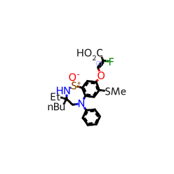 CCCCC1(CC)CN(c2ccccc2)c2cc(SC)c(O/C=C(\F)C(=O)O)cc2[S+]([O-])N1